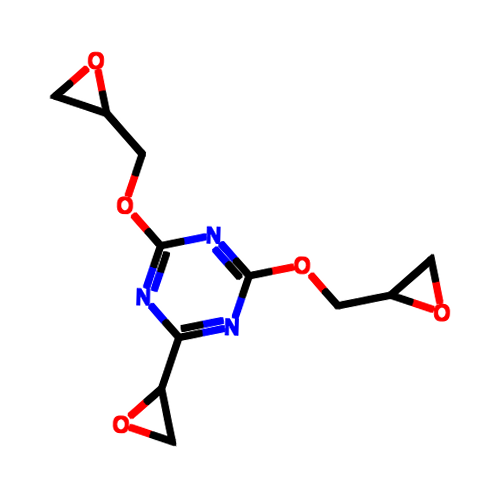 C(Oc1nc(OCC2CO2)nc(C2CO2)n1)C1CO1